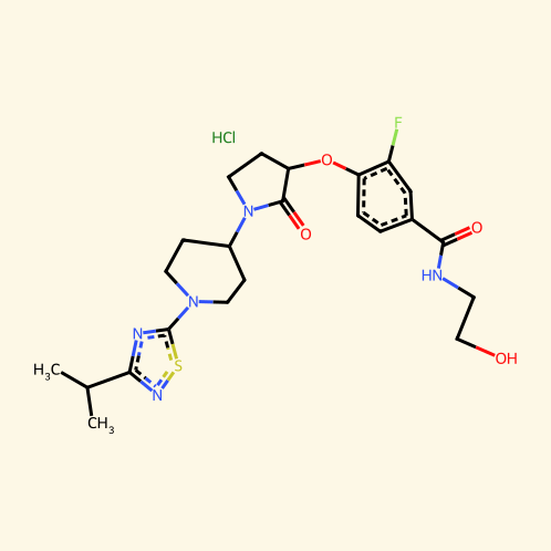 CC(C)c1nsc(N2CCC(N3CCC(Oc4ccc(C(=O)NCCO)cc4F)C3=O)CC2)n1.Cl